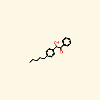 CCCCCc1ccc(C(O)C(=O)c2ccccc2)cc1